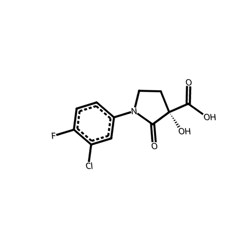 O=C(O)[C@]1(O)CCN(c2ccc(F)c(Cl)c2)C1=O